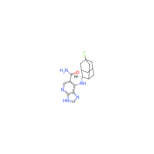 NC(=O)c1cnc2[nH]cnc2c1N[C@H]1C2CC3CC1C[C@@](F)(C3)C2